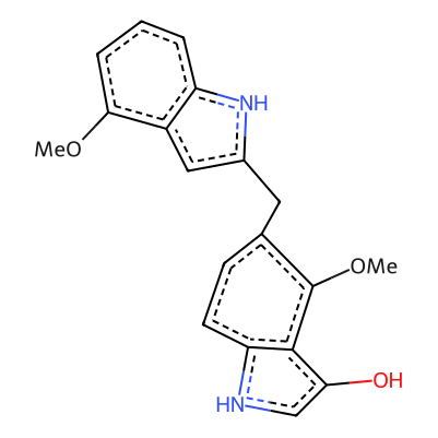 COc1cccc2[nH]c(Cc3ccc4[nH]cc(O)c4c3OC)cc12